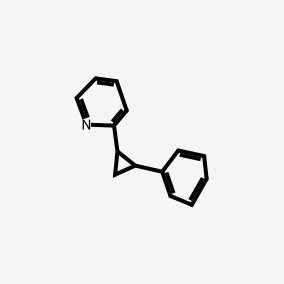 c1ccc(C2CC2c2ccccn2)cc1